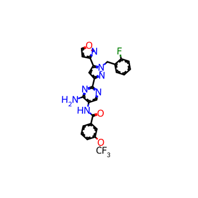 Nc1nc(-c2cc(-c3ccon3)n(Cc3ccccc3F)n2)ncc1NC(=O)c1cccc(OC(F)(F)F)c1